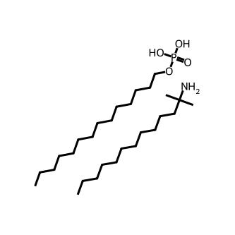 CCCCCCCCCCCC(C)(C)N.CCCCCCCCCCCCCCOP(=O)(O)O